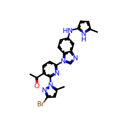 CC(=O)c1ccc(-n2cnc3cc(Nc4ccc(C)[nH]4)ccc32)nc1-n1nc(Br)cc1C